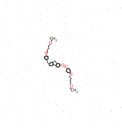 C=COCCCCCOc1ccc(Cc2ccc3c(c2)Cc2cc(OCOc4ccc(OCCCCCOC=C)cc4)ccc2-3)cc1